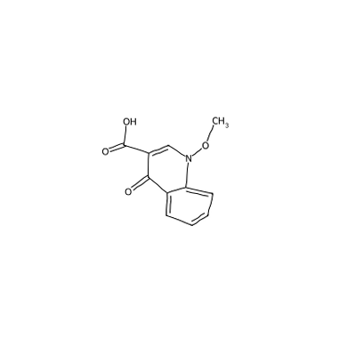 COn1cc(C(=O)O)c(=O)c2ccccc21